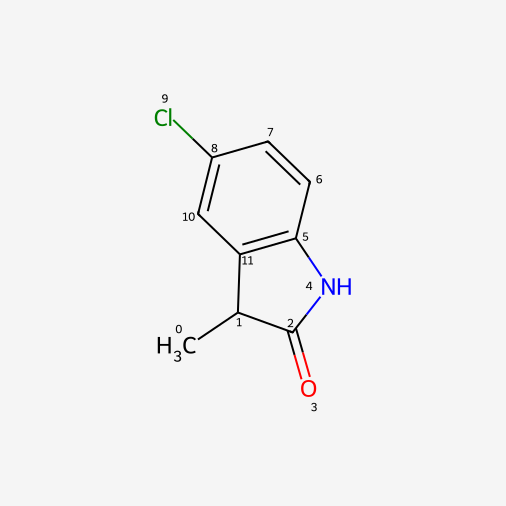 CC1C(=O)Nc2ccc(Cl)cc21